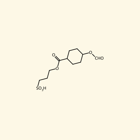 O=COC1CCC(C(=O)OCCCS(=O)(=O)O)CC1